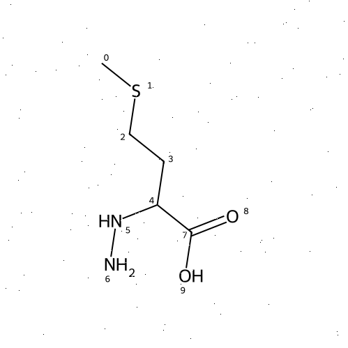 CSCCC(NN)C(=O)O